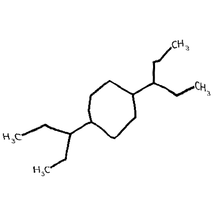 CCC(CC)C1CCC(C(CC)CC)CC1